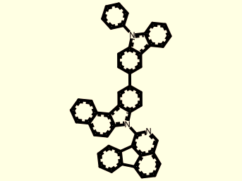 c1ccc(-n2c3ccccc3c3cc(-c4ccc5c(c4)c4c6ccccc6ccc4n5-c4ncc5cccc6c5c4-c4ccccc4-6)ccc32)cc1